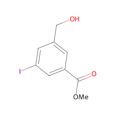 COC(=O)c1cc(I)cc(CO)c1